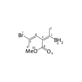 B/C(C)=C(/C=C(\C)Br)C(=O)OC